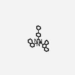 c1ccc(-c2ccc(-c3nc(-c4cccc5ccccc45)nc(-c4cc5ccccc5c5ccccc45)n3)cc2)cc1